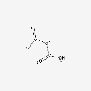 C=C(C)OC(=O)O